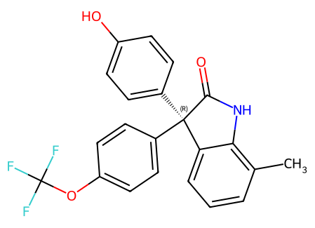 Cc1cccc2c1NC(=O)[C@]2(c1ccc(O)cc1)c1ccc(OC(F)(F)F)cc1